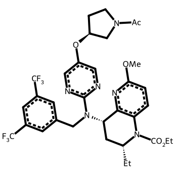 CCOC(=O)N1c2ccc(OC)nc2[C@@H](N(Cc2cc(C(F)(F)F)cc(C(F)(F)F)c2)c2ncc(O[C@H]3CCN(C(C)=O)C3)cn2)C[C@H]1CC